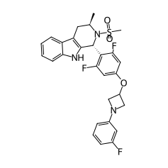 C[C@@H]1Cc2c([nH]c3ccccc23)[C@@H](c2c(F)cc(OC3CN(c4cccc(F)c4)C3)cc2F)N1S(C)(=O)=O